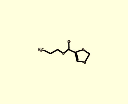 CCCOC([O])C1=COCO1